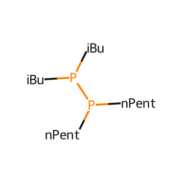 CCCCCP(CCCCC)P(C(C)CC)C(C)CC